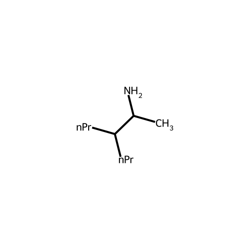 CCCC(CCC)C(C)N